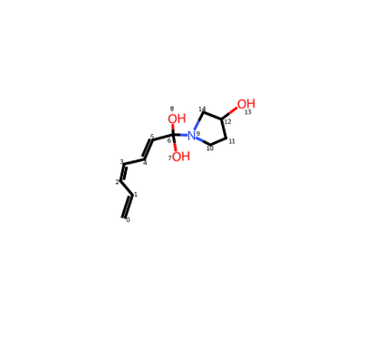 C=C/C=C\C=C\C(O)(O)N1CCC(O)C1